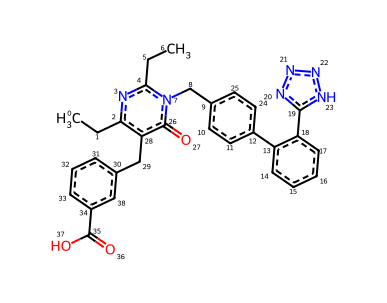 CCc1nc(CC)n(Cc2ccc(-c3ccccc3-c3nnn[nH]3)cc2)c(=O)c1Cc1cccc(C(=O)O)c1